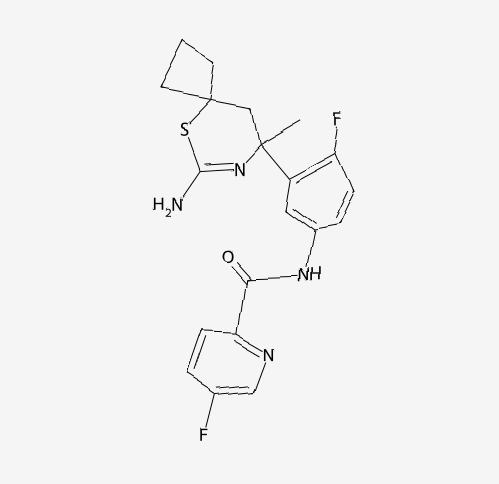 CC1(c2cc(NC(=O)c3ccc(F)cn3)ccc2F)CC2(CCC2)SC(N)=N1